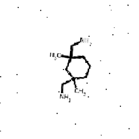 CC1(CN)CCCC(C)(CN)C1